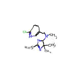 CSC1=NC(C)(C)C(N(C)Cc2ccc(Cl)nc2)=N1